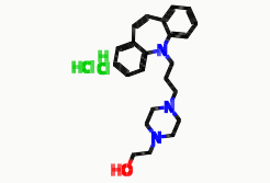 Cl.Cl.OCCN1CCN(CCCN2c3ccccc3C=Cc3ccccc32)CC1